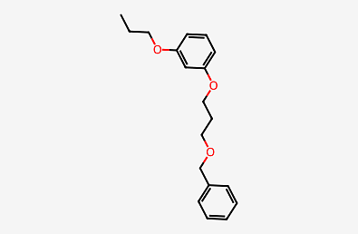 CCCOc1cccc(OCCCOCc2ccccc2)c1